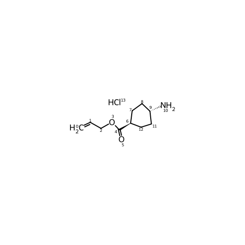 C=CCOC(=O)[C@H]1CC[C@H](N)CC1.Cl